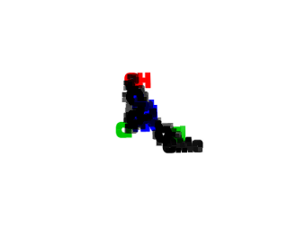 COc1ccc(CNc2nnc(N3CCC(CO)CC3)c3ccc(Cl)cc23)cc1Cl